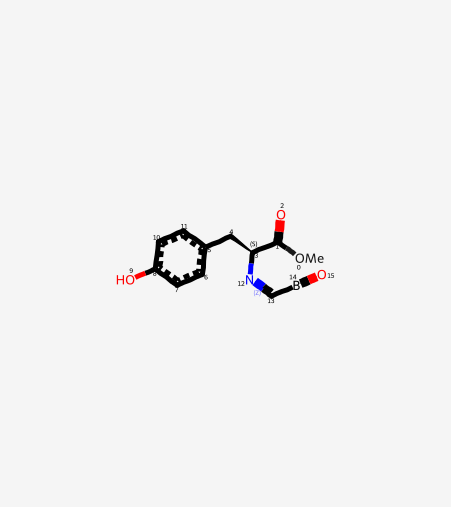 COC(=O)[C@H](Cc1ccc(O)cc1)/N=C\B=O